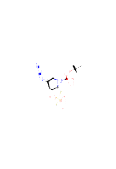 CC(C)(C)OC(=O)N1C[C@H](N=[N+]=[N-])C[C@H]1CS(C)(=O)=O